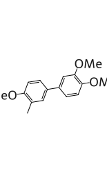 COc1ccc(-c2ccc(OC)c(OC)c2)cc1C